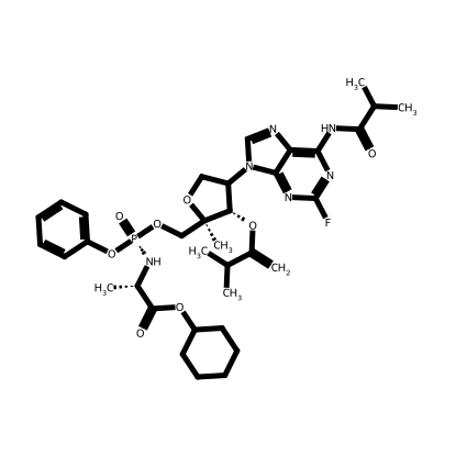 C=C(O[C@H]1C(n2cnc3c(NC(=O)C(C)C)nc(F)nc32)CO[C@]1(C)CO[P@@](=O)(N[C@@H](C)C(=O)OC1CCCCC1)Oc1ccccc1)C(C)C